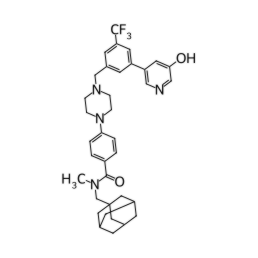 CN(CC12CC3CC(CC(C3)C1)C2)C(=O)c1ccc(N2CCN(Cc3cc(-c4cncc(O)c4)cc(C(F)(F)F)c3)CC2)cc1